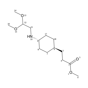 COC(=O)CC[C@H]1CC[C@H](NCC(OC)OC)CC1